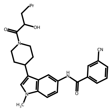 CC(C)CC(O)C(=O)N1CCC(c2cn(C)c3ccc(NC(=O)c4cccc(C#N)c4)cc23)CC1